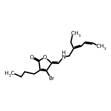 C/C=C\C=C(/CC)CN/C=C1\OC(=O)C(CCCC)=C1Br